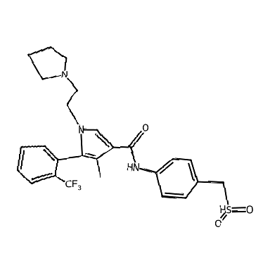 Cc1c(C(=O)Nc2ccc(C[SH](=O)=O)cc2)cn(CCN2CCCC2)c1-c1ccccc1C(F)(F)F